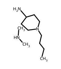 CCCCN1CCC(N)CC1.CNC